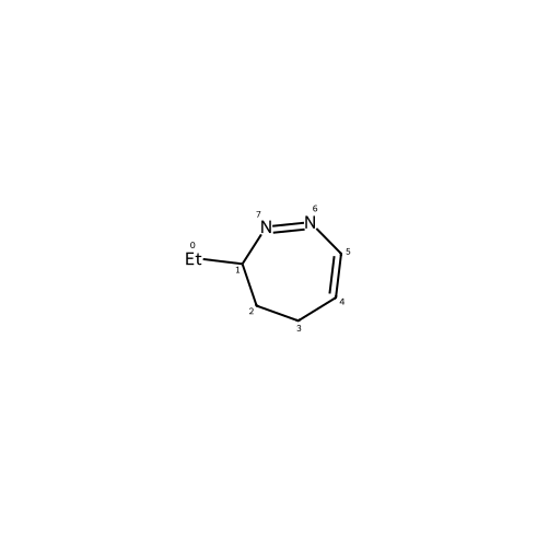 CCC1CCC=CN=N1